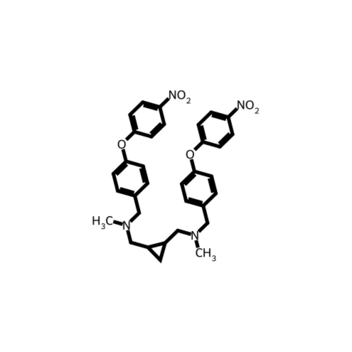 CN(Cc1ccc(Oc2ccc([N+](=O)[O-])cc2)cc1)CC1CC1CN(C)Cc1ccc(Oc2ccc([N+](=O)[O-])cc2)cc1